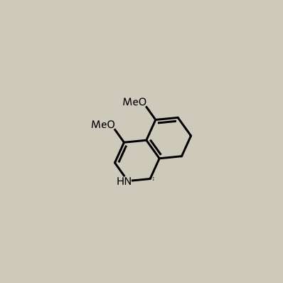 COC1=CCCC2=C1C(OC)=CN[C]2